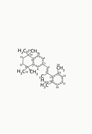 CC(=Cc1ccc2c(c1)C(C)(C)CCC2(C)C)c1c(C)cccc1C